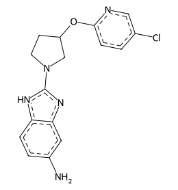 Nc1ccc2[nH]c(N3CCC(Oc4ccc(Cl)cn4)C3)nc2c1